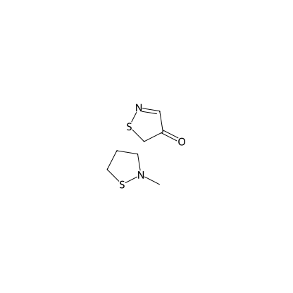 CN1CCCS1.O=C1C=NSC1